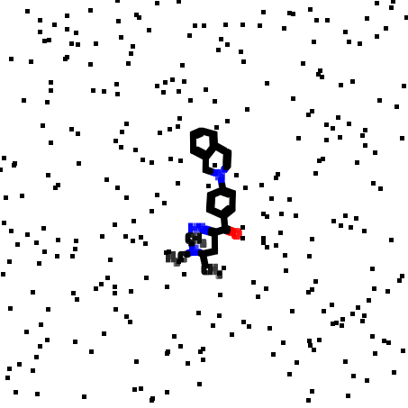 CC(CC(=N)C(=O)c1ccc(N2C=Cc3ccccc3C2)cc1)N(C)C